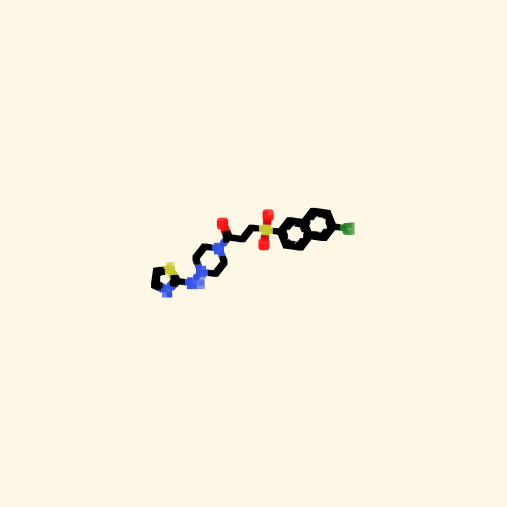 O=C(CCS(=O)(=O)c1ccc2cc(Cl)ccc2c1)N1CCN(Nc2nccs2)CC1